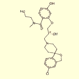 CN(CCO)C(=O)c1ccc(O)cc1OC[C@H](O)CN1CCC2(CC1)OCc1cc(Cl)ccc12